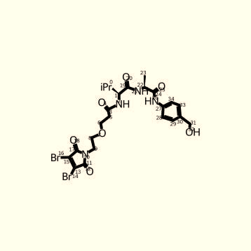 CC(C)[C@H](NC(=O)CCOCCN1C(=O)C(Br)=C(Br)C1=O)C(=O)N[C@@H](C)C(=O)Nc1ccc(CO)cc1